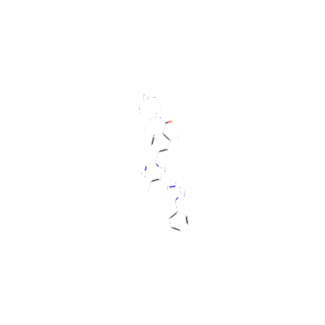 Cc1ncc(-c2cc(F)c(C(=O)N3CCCNCC3)c(F)c2)nc1-c1nnc(-c2ccccc2)o1